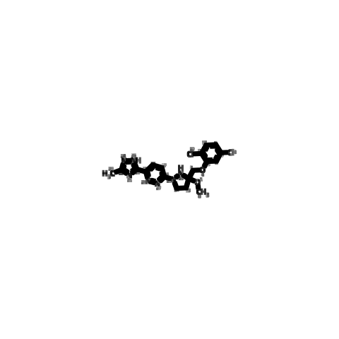 COC1(COc2cc(Cl)ccc2Cl)CCN(c2ccc(-c3nc(C)n[nH]3)nn2)N1